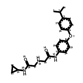 CC(C)c1ccc(Oc2ccc(NC(=O)CNCC(=O)NC3CC3)cc2)cc1